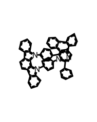 c1ccc(-c2ccc(-n3c4ccccc4c4ccc5c6ccccc6n(-c6ccc(-n7c(-c8ccccc8)nc8c9ccccc9c9ccccc9c87)cc6)c5c43)cc2)cc1